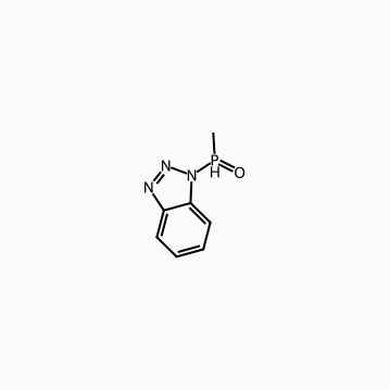 C[PH](=O)n1nnc2ccccc21